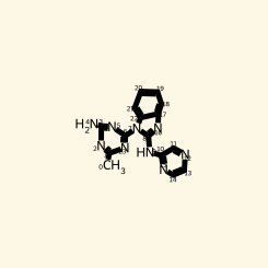 Cc1nc(N)nc(-n2c(Nc3cnccn3)nc3ccccc32)n1